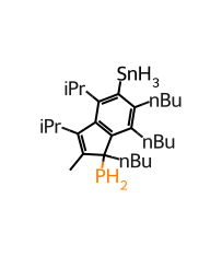 CCCCc1[c]([SnH3])c(C(C)C)c2c(c1CCCC)C(P)(CCCC)C(C)=C2C(C)C